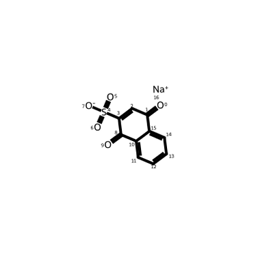 O=C1C=C(S(=O)(=O)[O-])C(=O)c2ccccc21.[Na+]